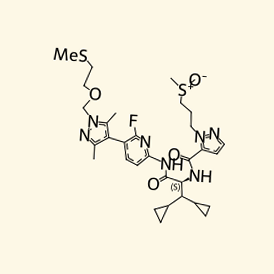 CSCCOCn1nc(C)c(-c2ccc(NC(=O)[C@@H](NC(=O)c3ccnn3CCC[S+](C)[O-])C(C3CC3)C3CC3)nc2F)c1C